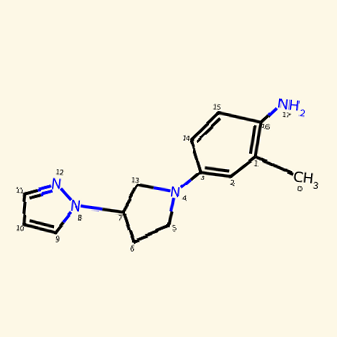 Cc1cc(N2CCC(n3cccn3)C2)ccc1N